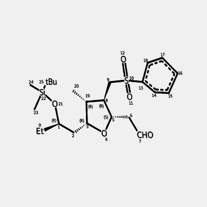 CC[C@H](C[C@H]1O[C@@H](CC=O)[C@H](CS(=O)(=O)c2ccccc2)[C@H]1C)O[Si](C)(C)C(C)(C)C